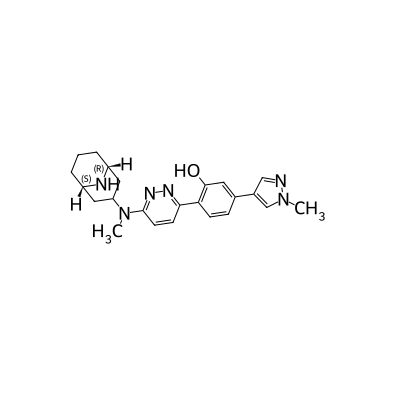 CN(c1ccc(-c2ccc(-c3cnn(C)c3)cc2O)nn1)C1C[C@H]2CCC[C@@H](C1)N2